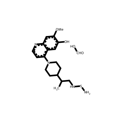 COc1cc2nccc(N3CCC(C(C)CNSN)CC3)c2cc1O.O=CO